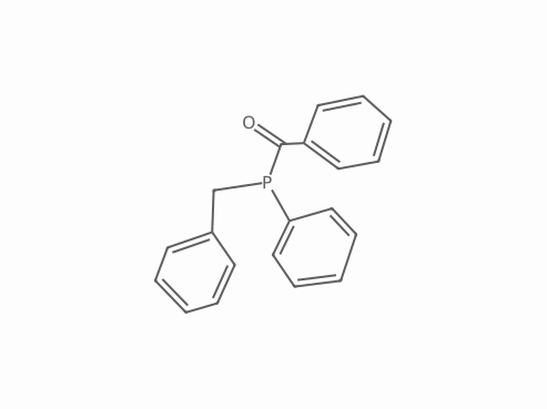 O=C(c1ccccc1)P(Cc1ccccc1)c1ccccc1